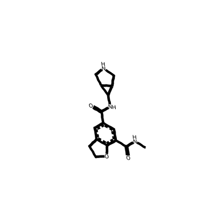 CNC(=O)c1cc(C(=O)NC2C3CNCC32)cc2c1OCC2